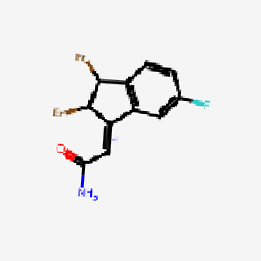 NC(=O)/C=C1/c2cc(F)ccc2C(Br)C1Br